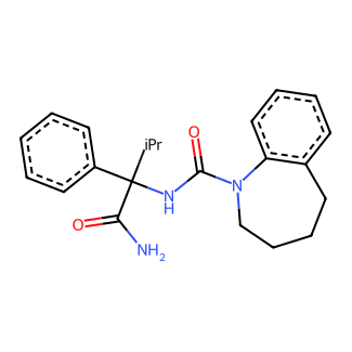 CC(C)C(NC(=O)N1CCCCc2ccccc21)(C(N)=O)c1ccccc1